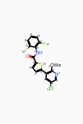 COc1ncc(Cl)cc1-c1ccc(C(=O)Nc2c(F)cccc2F)s1